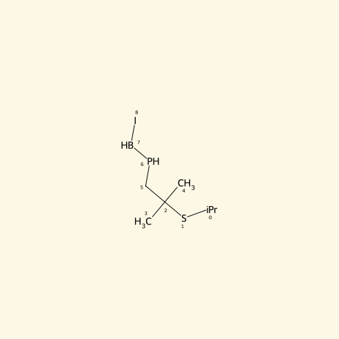 CC(C)SC(C)(C)CPBI